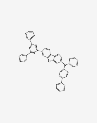 c1ccc(-c2ccc(N(c3ccccc3)c3ccc4c(c3)oc3cc(-c5nc(-c6ccccc6)cc(-c6ccccc6)n5)ccc34)cc2)cc1